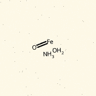 N.O.[O]=[Fe]